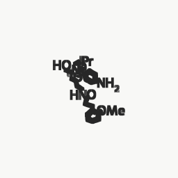 COc1ccccc1CCC(=O)NCCCC[C@@H](CO)N(CC(C)C)S(=O)(=O)c1ccc(N)cc1